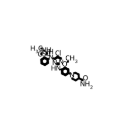 CCOc1cc(N2CCC(C(N)=O)CC2)ccc1Nc1ncc(Cl)c(Nc2ccccc2S(=O)(=O)NC)n1